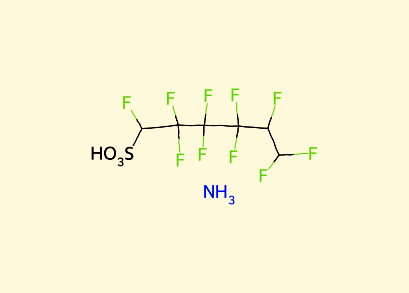 N.O=S(=O)(O)C(F)C(F)(F)C(F)(F)C(F)(F)C(F)C(F)F